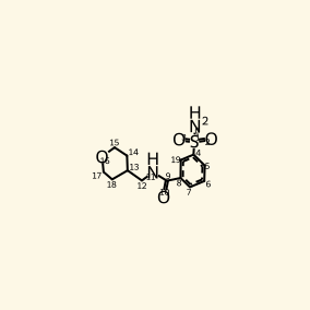 NS(=O)(=O)c1cccc(C(=O)NCC2CCOCC2)c1